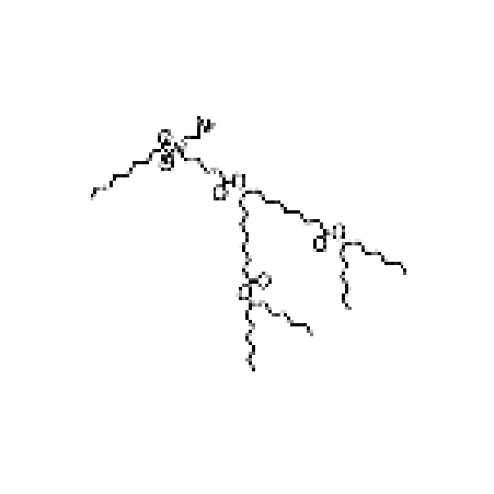 CCCCCCCCS(=O)(=O)N(CCCCC(=O)OC(CCCCCCCC(=O)OC(CCCCCC)CCCCCC)CCCCCCCC(=O)OC(CCCCCC)CCCCCC)CCN(C)C